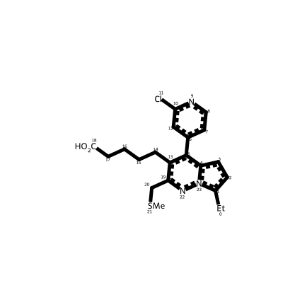 CCc1ccc2c(-c3ccnc(Cl)c3)c(CCCCC(=O)O)c(CSC)nn12